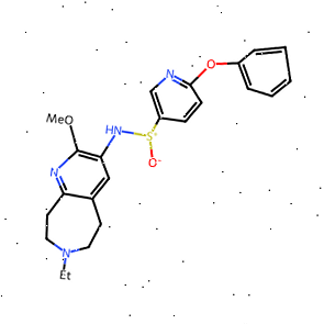 CCN1CCc2cc(N[S+]([O-])c3ccc(Oc4ccccc4)nc3)c(OC)nc2CC1